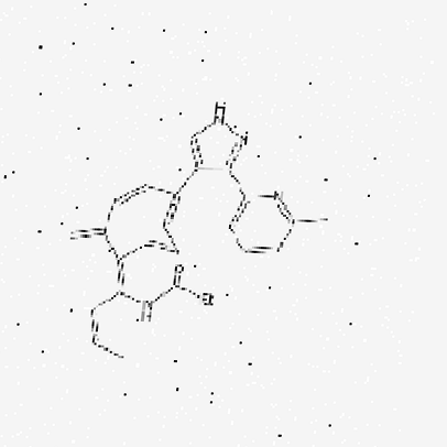 C=C1\C=C/C(c2c[nH]nc2-c2cccc(C)n2)=C/C=C/C1=C(/C=C\C)NC(=O)CC